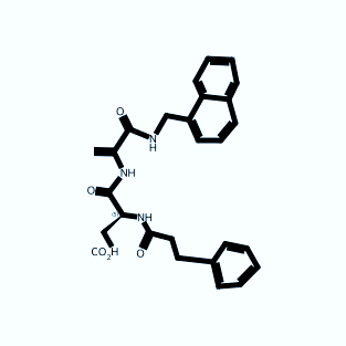 C=C(NC(=O)[C@H](CC(=O)O)NC(=O)CCc1ccccc1)C(=O)NCc1cccc2ccccc12